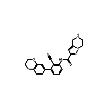 N#Cc1c(NC(=O)c2cc3n(n2)CCNC3)cccc1-c1ccc2c(c1)OCCO2